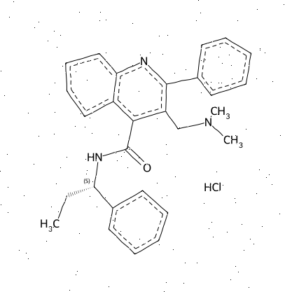 CC[C@H](NC(=O)c1c(CN(C)C)c(-c2ccccc2)nc2ccccc12)c1ccccc1.Cl